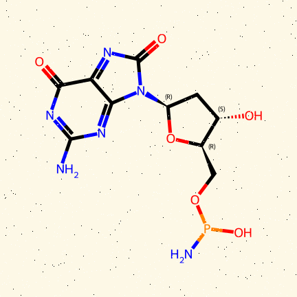 NC1=NC(=O)C2=NC(=O)N([C@H]3C[C@H](O)[C@@H](COP(N)O)O3)C2=N1